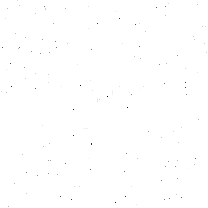 Oc1cc(F)c(Br)cc1CN[C@@](Cc1ccccc1)(c1cc(F)cc(C(F)(F)F)c1)c1ccc(Cl)cn1